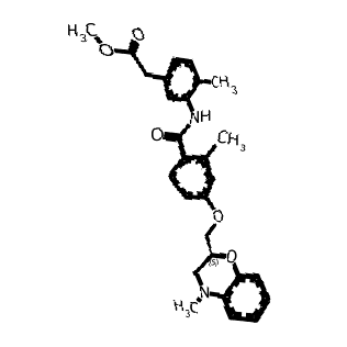 COC(=O)Cc1ccc(C)c(NC(=O)c2ccc(OC[C@@H]3CN(C)c4ccccc4O3)cc2C)c1